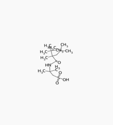 CC(C)(C)CC(C)(C(=O)NC(C)(C)CS(=O)(=O)O)C(C)(C)C